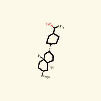 CCCCCCC[C@H]1CC[C@@H]2C[C@H](C3CCC(C(C)O)CC3)CC[C@H]2C1